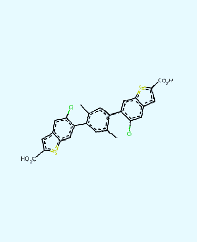 Cc1cc(-c2cc3sc(C(=O)O)cc3cc2Cl)c(C)cc1-c1cc2sc(C(=O)O)cc2cc1Cl